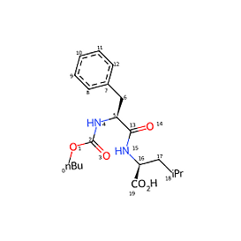 CCCCOC(=O)N[C@@H](Cc1ccccc1)C(=O)N[C@@H](CC(C)C)C(=O)O